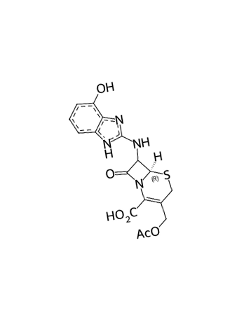 CC(=O)OCC1=C(C(=O)O)N2C(=O)C(Nc3nc4c(O)cccc4[nH]3)[C@H]2SC1